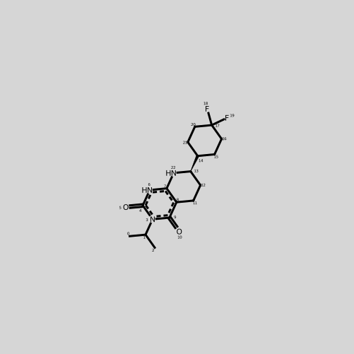 CC(C)n1c(=O)[nH]c2c(c1=O)CC[C@H](C1CCC(F)(F)CC1)N2